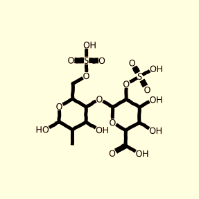 CC1C(O)OC(COS(=O)(=O)O)C(OC2OC(C(=O)O)C(O)C(O)C2OS(=O)(=O)O)C1O